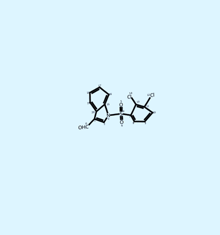 O=Cc1cn(S(=O)(=O)c2cccc(Cl)c2Cl)c2ccccc12